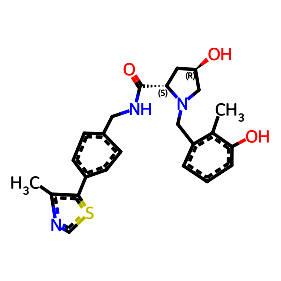 Cc1ncsc1-c1ccc(CNC(=O)[C@@H]2C[C@@H](O)CN2Cc2cccc(O)c2C)cc1